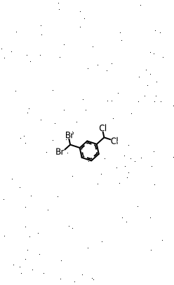 ClC(Cl)c1cccc(C(Br)Br)c1